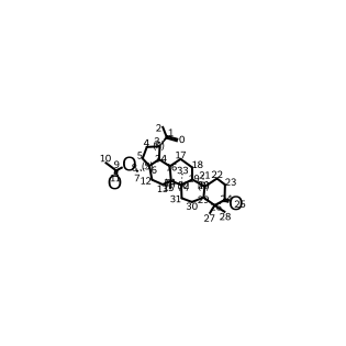 C=C(C)[C@@H]1CC[C@]2(COC(C)=O)CC[C@]3(C)C(CCC4[C@@]5(C)CCC(=O)C(C)(C)C5CC[C@]43C)C12